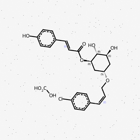 O=C(/C=C/c1ccc(O)cc1)O[C@@H]1C[C@@H](OC/C=C\c2ccc(Cl)cc2)C[C@H](O)[C@H]1O.O=C(O)O